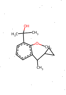 COc1c(C(C)C2CC2)cccc1C(C)(C)O